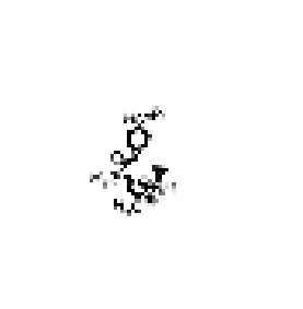 CC(C)NC1CCN(CC(=O)N(C)CCC(C)S(=O)(=O)NC2CC2)CC1